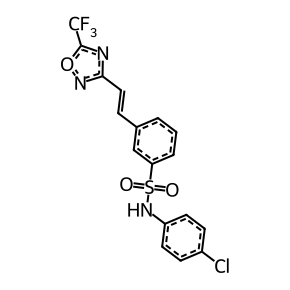 O=S(=O)(Nc1ccc(Cl)cc1)c1cccc(C=Cc2noc(C(F)(F)F)n2)c1